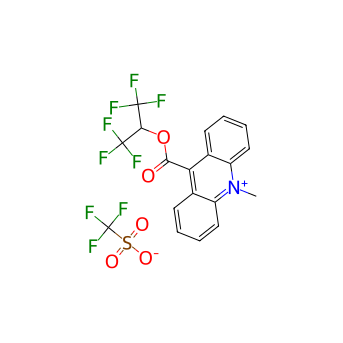 C[n+]1c2ccccc2c(C(=O)OC(C(F)(F)F)C(F)(F)F)c2ccccc21.O=S(=O)([O-])C(F)(F)F